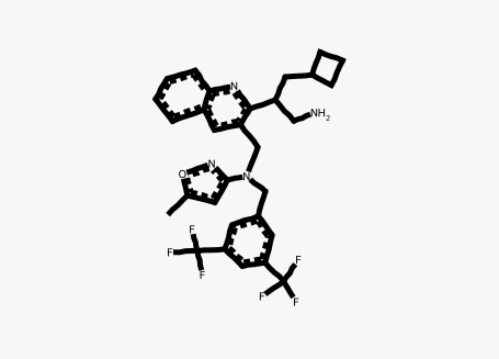 Cc1cc(N(Cc2cc(C(F)(F)F)cc(C(F)(F)F)c2)Cc2cc3ccccc3nc2C(CN)CC2CCC2)no1